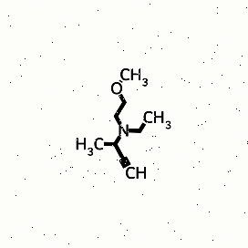 C#CC(C)N(CC)CCOC